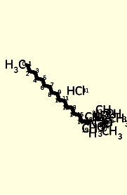 CCCCCCCCCCCCCCCCCC(C)(C)NC(CC)[Si](OC)(OC)OC.Cl